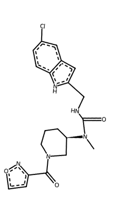 CN(C(=O)NCc1cc2cc(Cl)ccc2[nH]1)[C@@H]1CCCN(C(=O)c2ccon2)C1